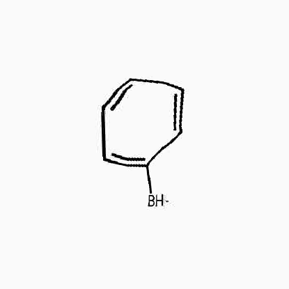 [BH]c1ccccc1